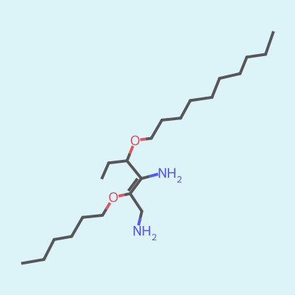 CCCCCCCCCCOC(CC)C(N)=C(CN)OCCCCCC